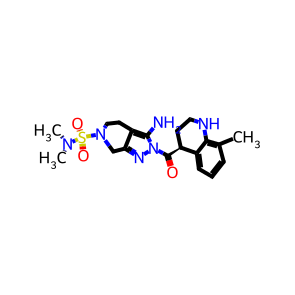 Cc1cccc2c1NCC[C@@H]2C(=O)n1nc2c(c1N)CCN(S(=O)(=O)N(C)C)C2